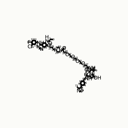 C=CC(=O)Nc1cc2c(Nc3ccc(F)c(Cl)c3)ncnc2cc1OCCCN1CCN(C(=O)CCOCCOCCOCCOCCC(=O)N[C@H](C(=O)N2C[C@H](O)C[C@H]2C(=O)NCc2ccc(-c3scnc3C)cc2)C(C)(C)C)CC1